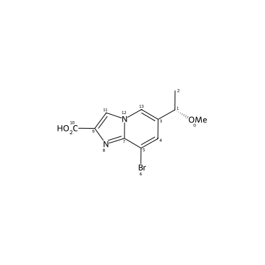 CO[C@@H](C)c1cc(Br)c2nc(C(=O)O)cn2c1